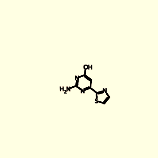 Nc1nc(O)cc(-c2nccs2)n1